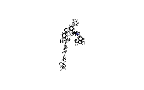 CC(C)(C)OC(=O)CCOCCOCCOCCNC(=O)c1cccc(C(=O)Nc2ccc(N3CCCCC3)cc2C(=O)N/N=C/c2ccc(Cl)c(C(F)(F)F)c2)c1